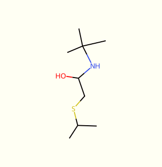 CC(C)SCC(O)NC(C)(C)C